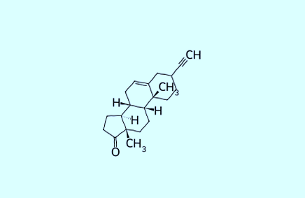 C#CC1CC[C@@]2(C)C(=CC[C@@H]3[C@H]2CC[C@]2(C)C(=O)CC[C@@H]32)C1